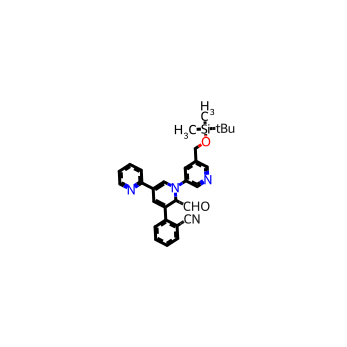 CC(C)(C)[Si](C)(C)OCc1cncc(N2C=C(c3ccccn3)C=C(c3ccccc3C#N)C2C=O)c1